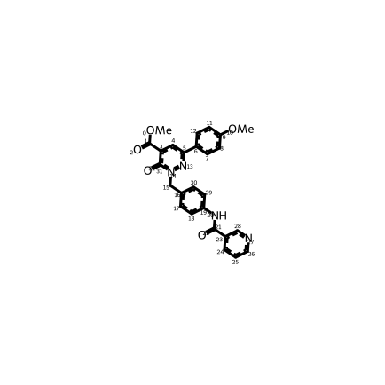 COC(=O)c1cc(-c2ccc(OC)cc2)nn(Cc2ccc(NC(=O)c3cccnc3)cc2)c1=O